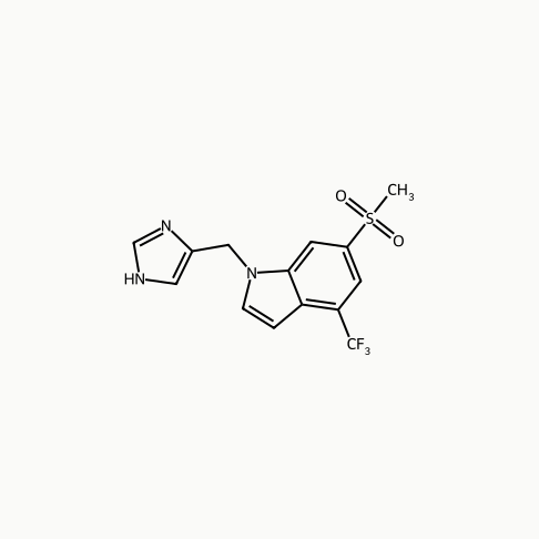 CS(=O)(=O)c1cc(C(F)(F)F)c2ccn(Cc3c[nH]cn3)c2c1